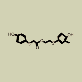 Cc1cc(SCCOC(=O)CSc2ccc(O)cc2)ccc1O